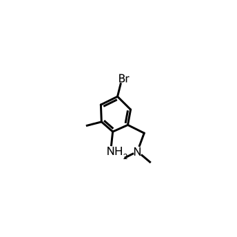 Cc1cc(Br)cc(CN(C)C)c1N